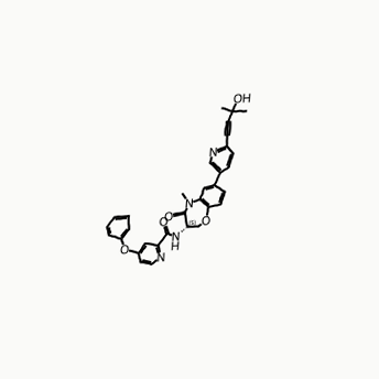 CN1C(=O)[C@@H](NC(=O)c2cc(Oc3ccccc3)ccn2)COc2ccc(-c3ccc(C#CC(C)(C)O)nc3)cc21